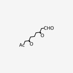 CC(=O)CC(=O)CCCC(=O)CC=O